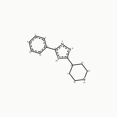 c1ccc(-c2nnc(C3CC[N]CC3)s2)cc1